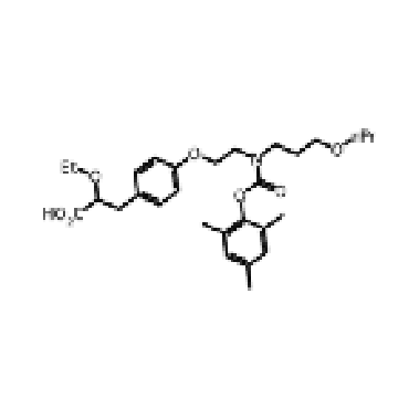 CCCOCCCN(CCOc1ccc(CC(OCC)C(=O)O)cc1)C(=O)Oc1c(C)cc(C)cc1C